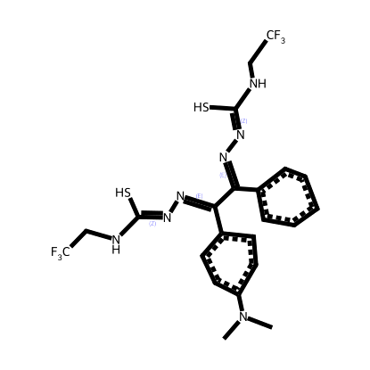 CN(C)c1ccc(C(=N\N=C(/S)NCC(F)(F)F)/C(=N/N=C(\S)NCC(F)(F)F)c2ccccc2)cc1